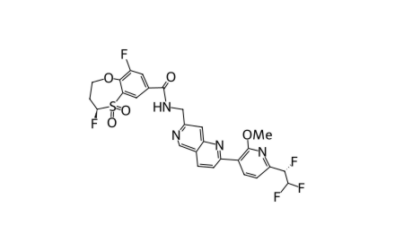 COc1nc([C@H](F)C(F)F)ccc1-c1ccc2cnc(CNC(=O)c3cc(F)c4c(c3)S(=O)(=O)[C@@H](F)CCO4)cc2n1